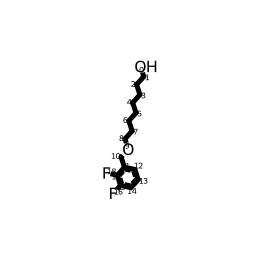 OCCCCCCCCOCc1cccc(F)c1F